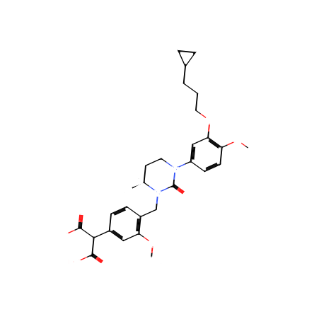 COc1cc(C(C(=O)O)C(=O)O)ccc1CN1C(=O)N(c2ccc(OC)c(OCCCC3CC3)c2)CC[C@@H]1C